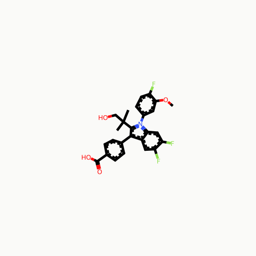 COc1cc(-n2c(C(C)(C)CO)c(-c3ccc(C(=O)O)cc3)c3cc(F)c(F)cc32)ccc1F